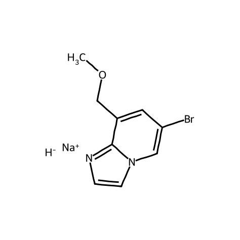 COCc1cc(Br)cn2ccnc12.[H-].[Na+]